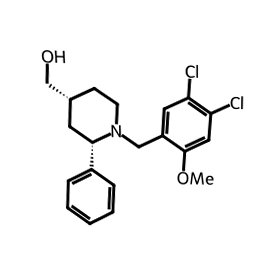 COc1cc(Cl)c(Cl)cc1CN1CC[C@@H](CO)C[C@H]1c1ccccc1